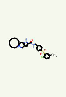 Cc1ccc(F)c(S(=O)(=O)c2ccc(CNC(=O)c3cc4c([nH]3)CC3(CCCCCCCCCC3)NC4)cc2)c1